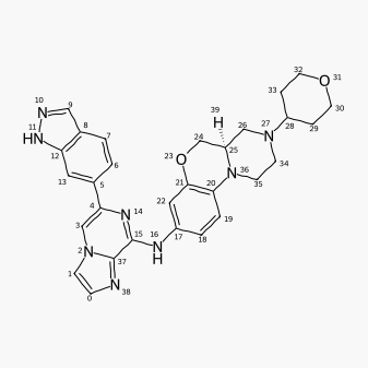 c1cn2cc(-c3ccc4cn[nH]c4c3)nc(Nc3ccc4c(c3)OC[C@H]3CN(C5CCOCC5)CCN43)c2n1